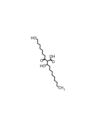 CCCCCCCCCC(O)C(C(=O)O)C(=O)CCCCCCCO